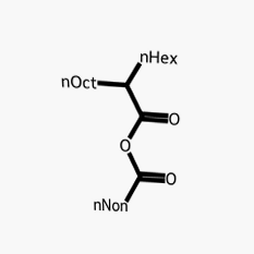 CCCCCCCCCC(=O)OC(=O)C(CCCCCC)CCCCCCCC